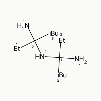 CCC(C)C(N)(CC)NC(N)(CC)C(C)CC